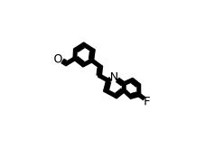 O=Cc1cccc(C=Cc2ccc3cc(F)ccc3n2)c1